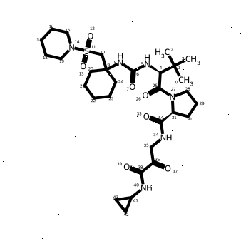 CC(C)(C)[C@H](NC(=O)NC1(CS(=O)(=O)N2CCCCC2)CCCCC1)C(=O)N1CCC[C@H]1C(=O)NCC(=O)C(=O)NC1CC1